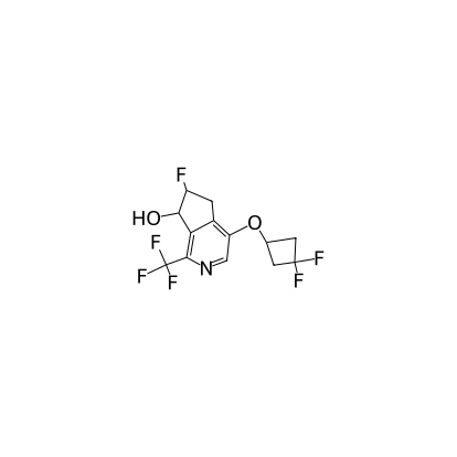 OC1c2c(C(F)(F)F)ncc(OC3CC(F)(F)C3)c2CC1F